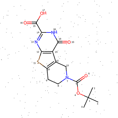 CC(C)(C)OC(=O)N1CCc2sc3nc(C(=O)O)[nH]c(=O)c3c2C1